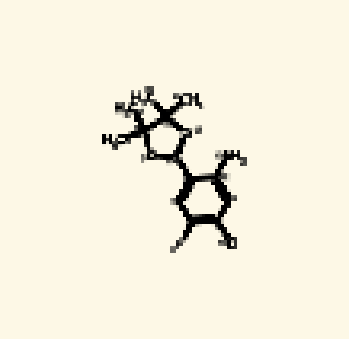 CC1(C)OB(c2cc(F)c(Cl)cc2N)OC1(C)C